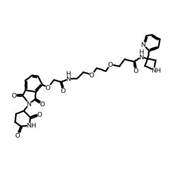 O=C(COc1cccc2c1C(=O)N(C1CCC(=O)NC1=O)C2=O)NCCOCCOCCC(=O)NC1(c2ccccn2)CNC1